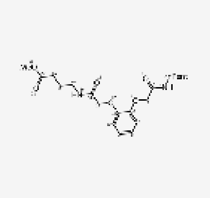 C[CH]CC[CH]NC(=O)COc1ccccc1OCC(=O)NCCCC(=O)OC